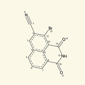 N#Cc1cc2cccc3c2c(c1Br)C(=O)NC3=O